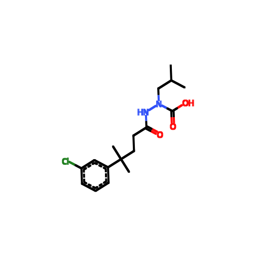 CC(C)CN(NC(=O)CCC(C)(C)c1cccc(Cl)c1)C(=O)O